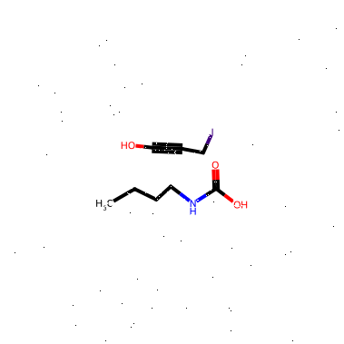 CCCCNC(=O)O.OC#CCI